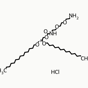 CCCCCCCCCCCCCCOC[C@H](COC(=O)NCCOCCOCCN)OCCCCCCCCCCCCCC.Cl